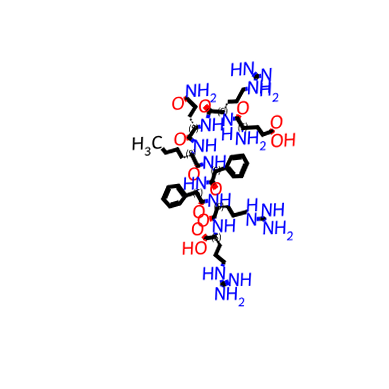 CCCC[C@H](NC(=O)[C@H](CCC(N)=O)NC(=O)[C@H](CCCNC(=N)N)NC(=O)[C@@H](N)CCC(=O)O)C(=O)N[C@H](C(=O)N[C@H](C(=O)N[C@@H](CCCNC(=N)N)C(=O)N[C@@H](CCCNC(=N)N)C(=O)O)c1ccccc1)c1ccccc1